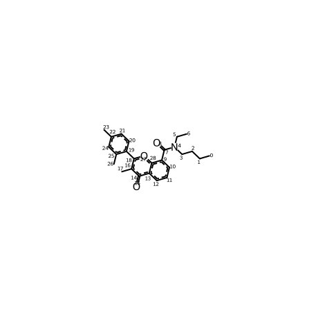 CCCCN(CC)C(=O)c1cccc2c(=O)c(C)c(-c3ccc(C)cc3C)oc12